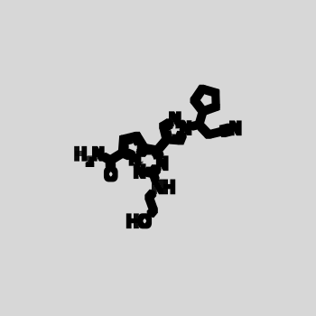 N#CCC(C1CCCC1)n1cc(-c2nc(NCCO)nn3c(C(N)=O)ccc23)cn1